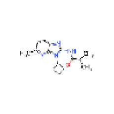 Cc1ccc2nc(NC(=O)C(C)C)n(C3CCC3)c2n1